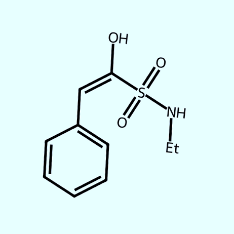 CCNS(=O)(=O)C(O)=Cc1ccccc1